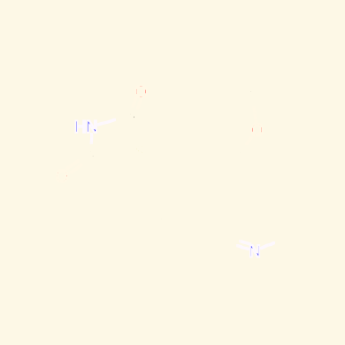 O=C1NC(=O)C(=Cc2ccc3nccc(-c4ccco4)c3c2)S1